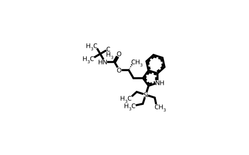 CC[Si](CC)(CC)c1[nH]c2ccccc2c1C[C@@H](C)OC(=O)NC(C)(C)C